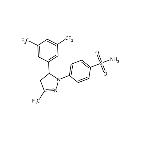 NS(=O)(=O)c1ccc(N2N=C(C(F)(F)F)CC2c2cc(C(F)(F)F)cc(C(F)(F)F)c2)cc1